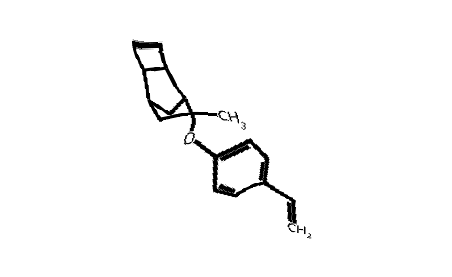 C=Cc1ccc(OC2(C)CC3CC2C2CCC32)cc1